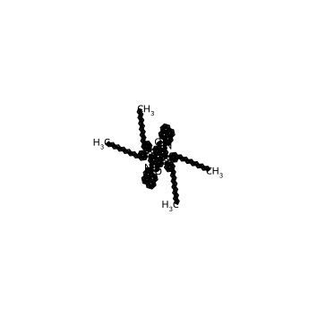 CCCCCCCCCCCCc1ccc(Oc2cc3c(=O)n4c(nc5cc6ccc7cccc8ccc(c6c78)c54)c4cc(Oc5ccc(CCCCCCCCCCCC)cc5)c5c6c(Oc7ccc(CCCCCCCCCCCC)cc7)cc7c(=O)n8c(nc9cc%10ccc%11cccc%12ccc(c%10c%11%12)c98)c8cc(Oc9ccc(CCCCCCCCCCCC)cc9)c(c2c5c34)c6c78)cc1